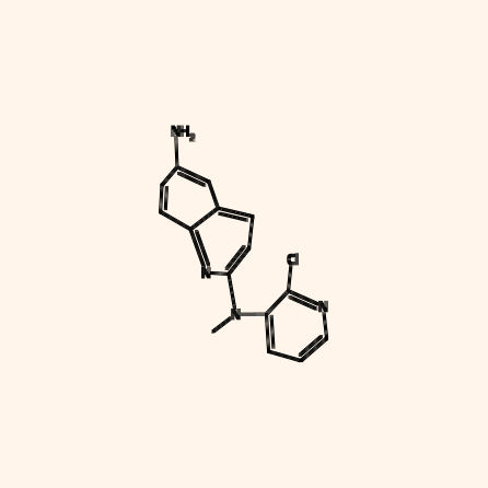 CN(c1ccc2cc(N)ccc2n1)c1cccnc1Cl